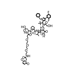 CNC(=O)[C@H](CCN(C(=O)CO)[C@@H](c1cc(-c2cc(F)ccc2F)cn1Cc1ccccc1)C(C)(C)C)NC(=O)[C@@H](NC(=O)[C@@H]1CCCN1C(=O)[C@H](CC(=O)O)NC(=O)CCOCCOCCOCCNC(=O)CN1C(=O)C=CC1=O)C(C)C